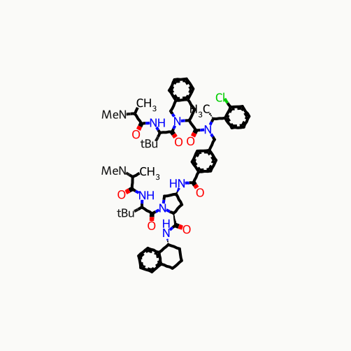 CNC(C)C(=O)NC(C(=O)N1Cc2ccccc2CC1C(=O)N(Cc1ccc(C(=O)N[C@H]2C[C@@H](C(=O)N[C@@H]3CCCc4ccccc43)N(C(=O)C(NC(=O)C(C)NC)C(C)(C)C)C2)cc1)[C@H](C)c1ccccc1Cl)C(C)(C)C